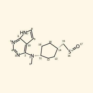 CN(c1ncnc2[nH]ccc12)[C@H]1CC[C@@H](C[S+]=O)CC1